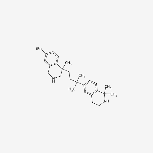 CC(C)(C)c1ccc2c(c1)CNCC2(C)CCC(C)(C)c1ccc2c(c1)CCNC2(C)C